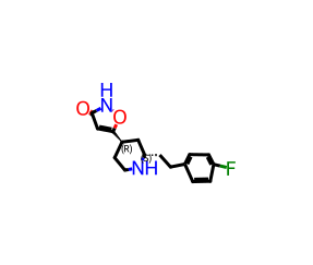 O=c1cc([C@@H]2CCN[C@@H](CCc3ccc(F)cc3)C2)o[nH]1